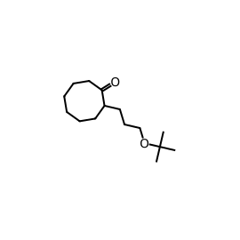 CC(C)(C)OCCCC1CCCCCCC1=O